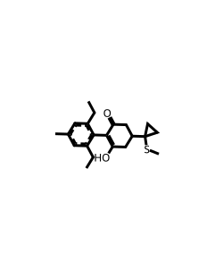 CCc1cc(C)cc(CC)c1C1=C(O)CC(C2(SC)CC2)CC1=O